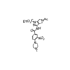 CCOC(=O)n1nc(NC(=O)c2ccc(N3CCN(C)CC3)c([N+](=O)[O-])c2)c2c1CN(C(C)=O)C2